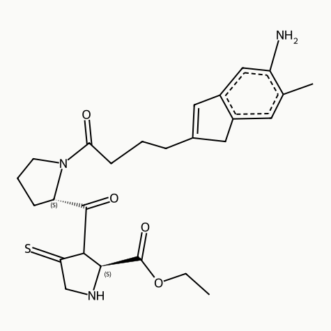 CCOC(=O)[C@H]1NCC(=S)C1C(=O)[C@@H]1CCCN1C(=O)CCCC1=Cc2cc(N)c(C)cc2C1